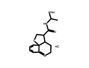 CCCCCCC(C)NC(=O)C1CSC23C=CC=CC2=NCCC13.Cl